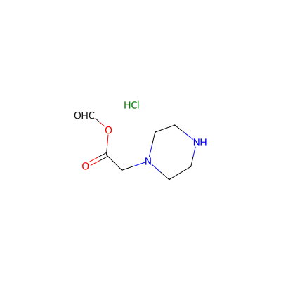 Cl.O=COC(=O)CN1CCNCC1